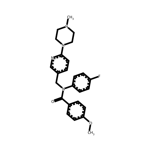 COc1ccc(C(=O)N(Cc2ccc(N3CCN(C)CC3)nc2)c2ccc(F)cc2)cc1